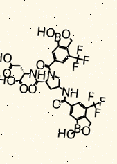 O=C(O)C[C@H](NC(=O)[C@@H]1C[C@H](NC(=O)c2cc3c(c(C(F)(F)F)c2)COB3O)CN1C(=O)c1cc2c(c(C(F)(F)F)c1)COB2O)C(=O)O